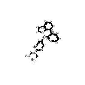 CCN(CC)c1ncc(Oc2ncccc2-c2cccc3c2OCC3)cn1